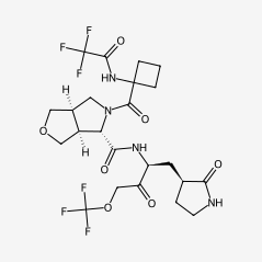 O=C1NCC[C@H]1C[C@H](NC(=O)[C@@H]1[C@H]2COC[C@H]2CN1C(=O)C1(NC(=O)C(F)(F)F)CCC1)C(=O)COC(F)(F)F